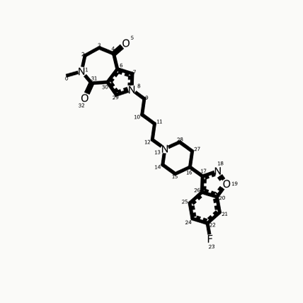 CN1CCC(=O)c2cn(CCCCN3CCC(c4noc5cc(F)ccc45)CC3)cc2C1=O